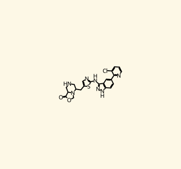 O=C1OCN2C(Cc3cnc(Nc4n[nH]c5ccc(-c6ncccc6Cl)cc45)s3)CNCC12